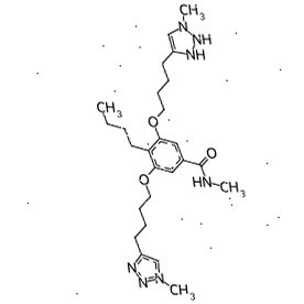 CCCCc1c(OCCCCC2=CN(C)NN2)cc(C(=O)NC)cc1OCCCCc1cn(C)nn1